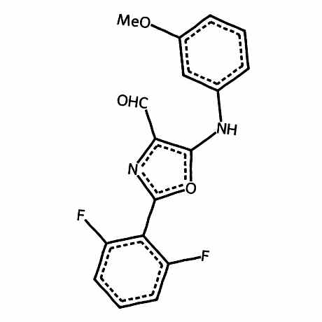 COc1cccc(Nc2oc(-c3c(F)cccc3F)nc2C=O)c1